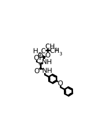 CC(C)(C)OC(=O)N[C@H](CO)C(=O)NCc1ccc(OCc2ccccc2)cc1